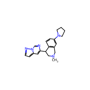 CN1Cc2cc(N3CCCC3)ccc2C(c2cc3ccnn3cn2)C1